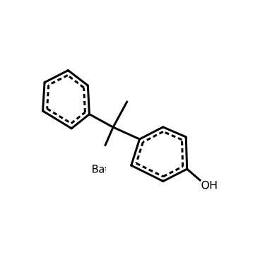 CC(C)(c1ccccc1)c1ccc(O)cc1.[Ba]